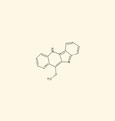 COc1c2nc3ccccc3c-2[nH]c2ccccc12